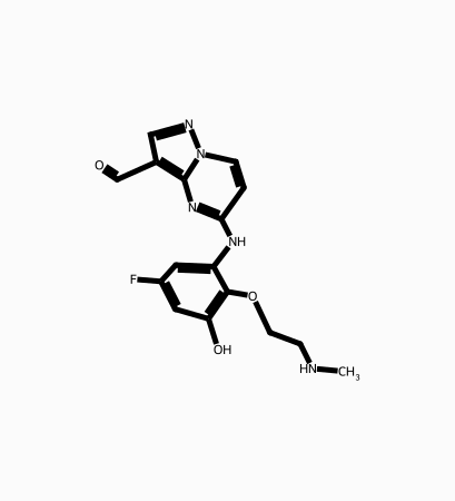 CNCCOc1c(O)cc(F)cc1Nc1ccn2ncc(C=O)c2n1